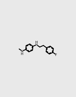 CNc1ccc(NCCc2ccc(F)cc2)cc1